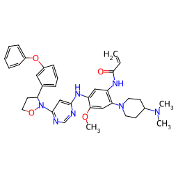 C=CC(=O)Nc1cc(Nc2cc(N3OCCC3c3cccc(Oc4ccccc4)c3)ncn2)c(OC)cc1N1CCC(N(C)C)CC1